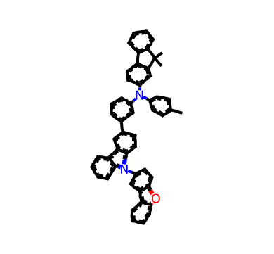 Cc1ccc(N(c2cccc(-c3ccc4c(c3)c3ccccc3n4-c3ccc4oc5ccccc5c4c3)c2)c2ccc3c(c2)C(C)(C)c2ccccc2-3)cc1